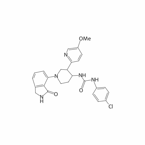 COc1ccc(C2CN(c3cccc4c3C(=O)NC4)CCC2NC(=O)Nc2ccc(Cl)cc2)nc1